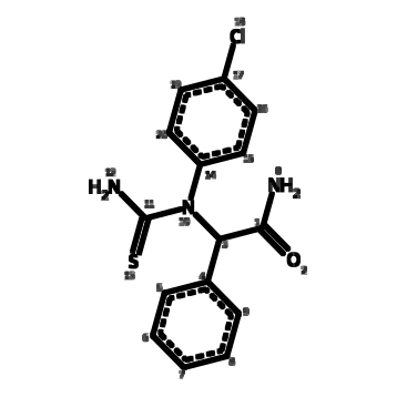 NC(=O)C(c1ccccc1)N(C(N)=S)c1ccc(Cl)cc1